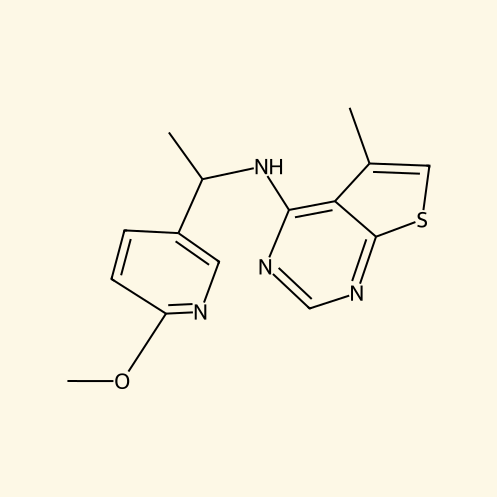 COc1ccc(C(C)Nc2ncnc3scc(C)c23)cn1